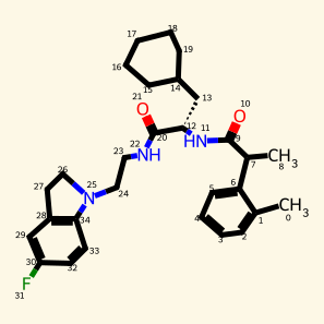 Cc1ccccc1C(C)C(=O)N[C@@H](CC1CCCCC1)C(=O)NCCN1CCc2cc(F)ccc21